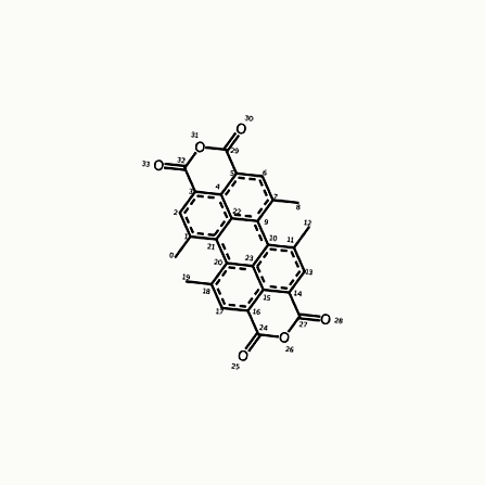 Cc1cc2c3c(cc(C)c4c5c(C)cc6c7c(cc(C)c(c1c34)c75)C(=O)OC6=O)C(=O)OC2=O